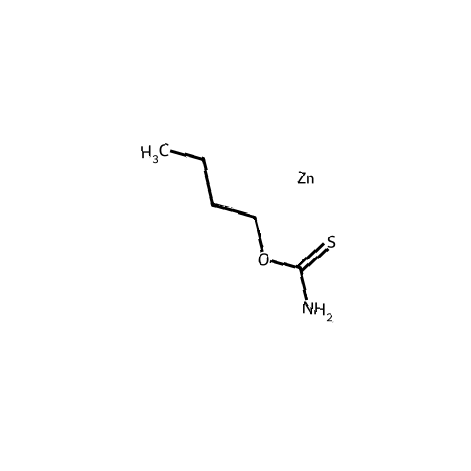 CCCCOC(N)=S.[Zn]